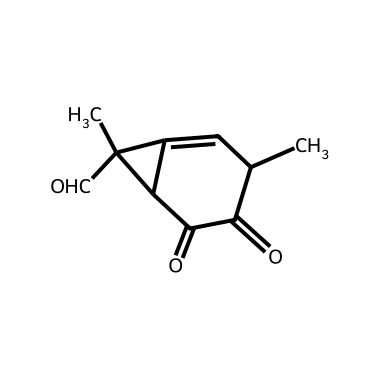 CC1C=C2C(C(=O)C1=O)C2(C)C=O